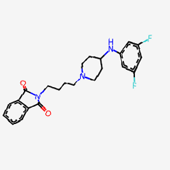 O=C1c2ccccc2C(=O)N1CCCCN1CCC(Nc2cc(F)cc(F)c2)CC1